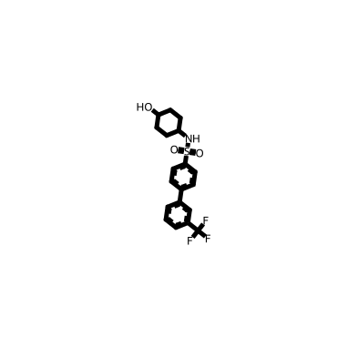 O=S(=O)(NC1CCC(O)CC1)c1ccc(-c2cccc(C(F)(F)F)c2)cc1